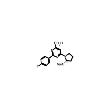 CO[C@H]1CCCN1c1cc(C(=O)O)nc(-c2ccc(F)cc2)n1